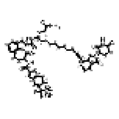 NC(=O)CC[C@@H](CNCCCCCCC#Cc1cccc2c1CN(C1CCC(=O)NC1=O)C2=O)NC(=O)[C@@H]1Cc2cccc3c2N1C(=O)[C@@H](NC(=O)c1cc2cc(C(F)(F)P(=O)(O)O)ccc2s1)CC3